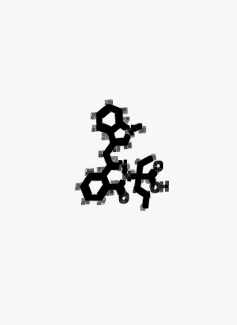 CCCC(CC)(C(=O)O)n1nc(Cc2cn(C)c3ccccc23)c2ccccc2c1=O